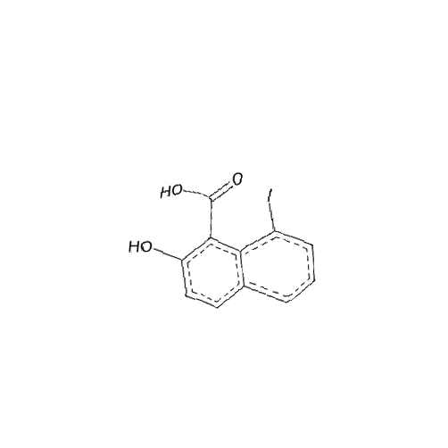 O=C(O)c1c(O)ccc2cccc(I)c12